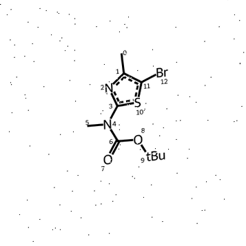 Cc1nc(N(C)C(=O)OC(C)(C)C)sc1Br